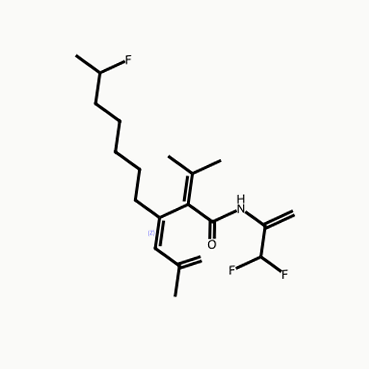 C=C(C)/C=C(/CCCCCC(C)F)C(C(=O)NC(=C)C(F)F)=C(C)C